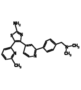 Cc1cccc(-c2sc(N)nc2-c2ccnc(-c3ccc(CN(C)C)cc3)c2)n1